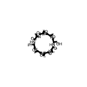 CC(C)C1NC(=O)c2coc(n2)-c2coc(n2)-c2coc(n2)C(CO)NC(=O)c2coc(n2)-c2coc(n2)-c2coc1n2